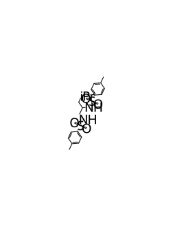 Cc1ccc(S(=O)(=O)NCC(CC(C)C)NS(=O)(=O)c2ccc(C)cc2)cc1